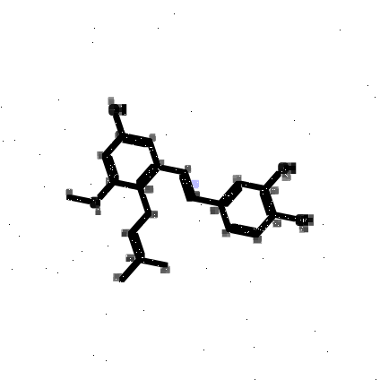 COc1cc(O)cc(/C=C/c2ccc(O)c(O)c2)c1CC=C(C)C